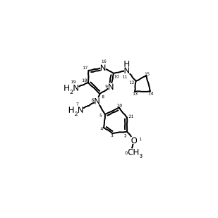 COc1ccc(N(N)c2nc(NC3CCC3)ncc2N)cc1